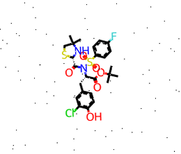 CC1(C)CS[C@@H](C(=O)N([C@@H](Cc2ccc(O)c(Cl)c2)C(=O)OC(C)(C)C)S(=O)(=O)c2ccc(F)cc2)N1